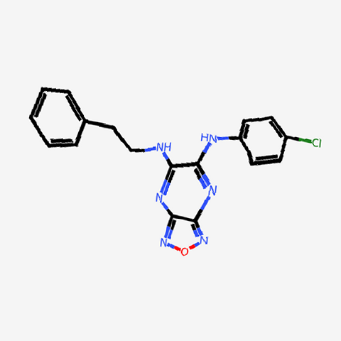 Clc1ccc(Nc2nc3nonc3nc2NCCc2ccccc2)cc1